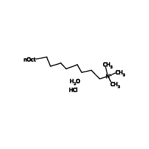 CCCCCCCCCCCCCCCC[N+](C)(C)C.Cl.O